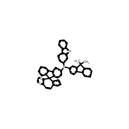 CC1(C)c2ccccc2-c2ccc(N(c3ccc4c(c3)-c3ccccc3C43c4ccccc4C=Cc4ccccc43)c3ccc4c(c3)oc3ccccc34)cc21